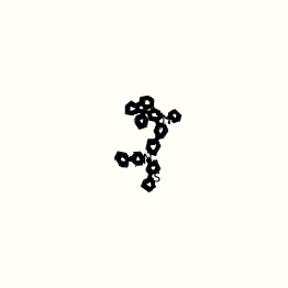 c1ccc(-c2ccc(N(c3ccc(-c4ccc5c(c4)c4cc(C6(c7ccccc7)c7ccccc7-c7ccccc76)ccc4n5-c4ccccc4)cc3)c3ccc4sc5ccccc5c4c3)cc2)cc1